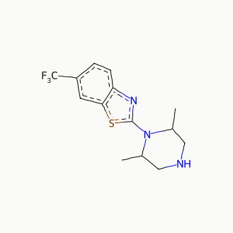 CC1CNCC(C)N1c1nc2ccc(C(F)(F)F)cc2s1